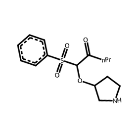 CCCC(=O)C(OC1CCNC1)S(=O)(=O)c1ccccc1